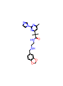 Cc1cc(C(C)(C)C(=O)NCCNCc2ccc3c(c2)OCO3)nc(-n2ccnc2)n1